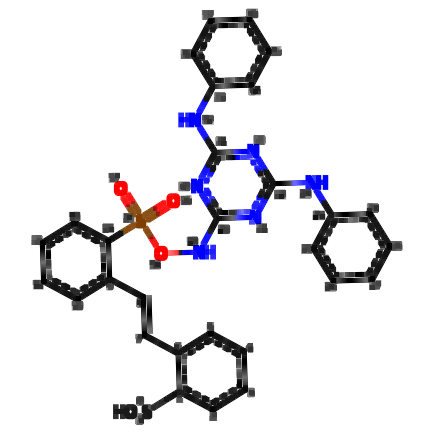 O=S(=O)(O)c1ccccc1C=Cc1ccccc1S(=O)(=O)ONc1nc(Nc2ccccc2)nc(Nc2ccccc2)n1